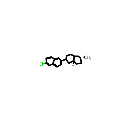 C[C@@H]1CC[C@@H]2CC(c3ccc4cc(Cl)ccc4c3)CCC2C1